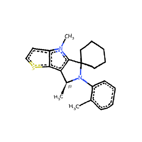 Cc1ccccc1N1[C@@H](C)c2c(n(C)c3ccsc23)C12CCCCC2